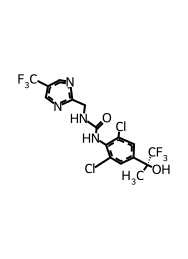 C[C@](O)(c1cc(Cl)c(NC(=O)NCc2ncc(C(F)(F)F)cn2)c(Cl)c1)C(F)(F)F